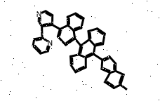 Cc1ccc2cc(-c3c4ccccc4c(-c4ccc(-c5ccncc5-c5ccccn5)c5ccccc45)c4ccccc34)ccc2c1